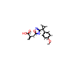 C=C(Cc1nc(C2(c3ccc(OC)cc3)CC2)no1)C(=O)O